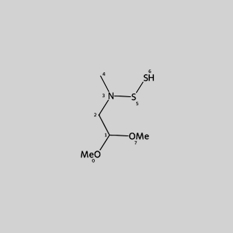 COC(CN(C)SS)OC